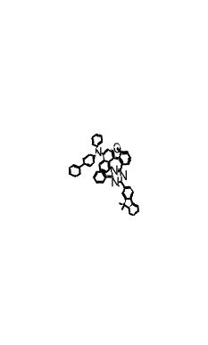 CC1(C)c2ccccc2-c2ccc(-c3nc(-c4ccccc4)nc(-c4cccc5oc6cc(N(c7ccccc7)c7ccc(C8=CC=CCC8)cc7)c7ccccc7c6c45)n3)cc21